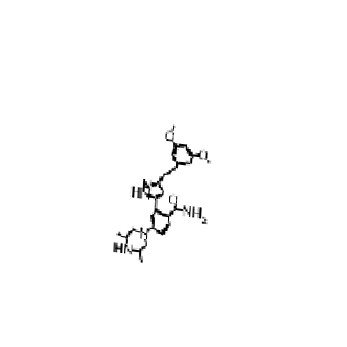 COc1cc(CCc2cc(-c3cc(N4CC(C)NC(C)C4)ccc3C(N)=O)[nH]n2)cc(OC)c1